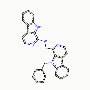 c1ccc(Cn2c3ccccc3c3ccnc(CNc4nccc5c4[nH]c4ccccc45)c32)cc1